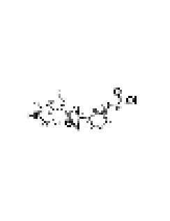 CCC(c1nc(-c2cccc(OCC(=O)O)c2)no1)C1CCNCC1